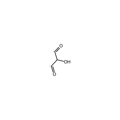 O=[C]C(O)[C]=O